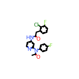 CC(=O)N(c1ccc(F)cc1)c1cc(NC(=O)Cc2cccc(F)c2Cl)ccn1